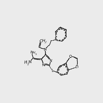 C=CN(CCc1ccccc1)C1=NC(Sc2ccc3c(c2)OCO3)=NC1=C(N)N